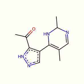 CC(=O)c1[nH]ncc1C1=C(C)C=NC(C)N1